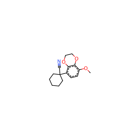 COc1ccc(C2(C#N)CCCCC2)c2c1OCCO2